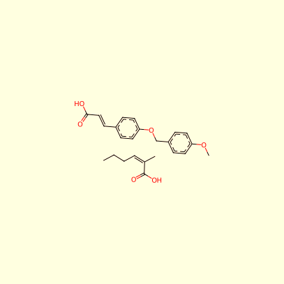 CCCC=C(C)C(=O)O.COc1ccc(COc2ccc(C=CC(=O)O)cc2)cc1